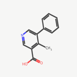 Cc1c(C(=O)O)cncc1-c1ccccc1